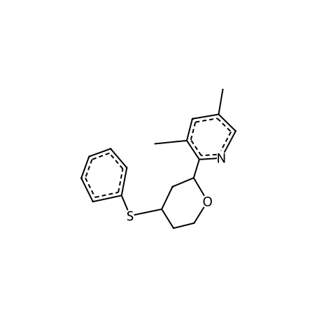 Cc1cnc(C2CC(Sc3ccccc3)CCO2)c(C)c1